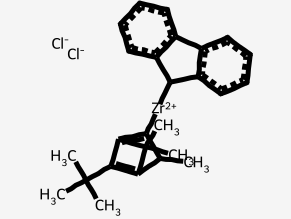 CC1[C]([Zr+2][CH]2c3ccccc3-c3ccccc32)=C2C(C(C)(C)C)=C1C2(C)C.[Cl-].[Cl-]